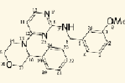 COc1cccc(CNc2nccc(N3CCOCC3c3ccccc3)n2)c1